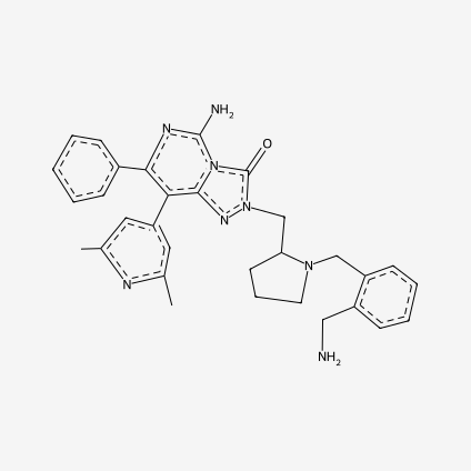 Cc1cc(-c2c(-c3ccccc3)nc(N)n3c(=O)n(CC4CCCN4Cc4ccccc4CN)nc23)cc(C)n1